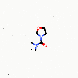 CN(C)C(=O)N1CCOC1